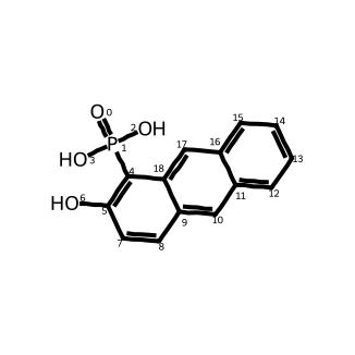 O=P(O)(O)c1c(O)ccc2cc3ccccc3cc12